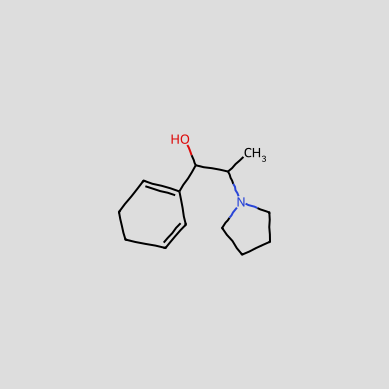 CC(C(O)C1=CCCC=C1)N1CCCC1